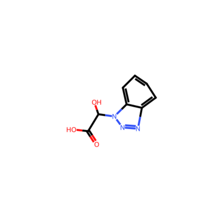 O=C(O)C(O)n1nnc2ccccc21